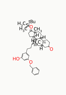 CC(C)(C)[Si](C)(C)O[C@H]1CC[C@H]2[C@@H]3[C@H](CCCc4cc(O)cc(OCc5ccccc5)c4)C[C@H]4CC(=O)CC[C@]4(C)[C@H]3CC[C@]12C